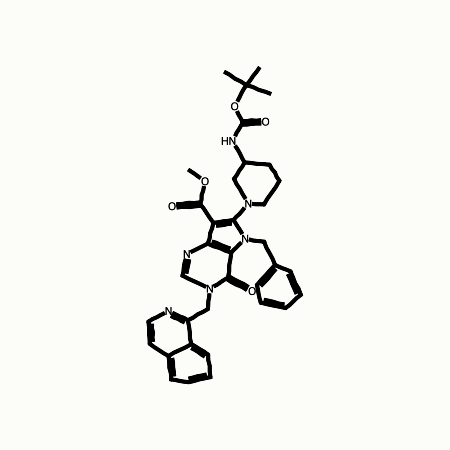 COC(=O)c1c(N2CCCC(NC(=O)OC(C)(C)C)C2)n(Cc2ccccc2)c2c(=O)n(Cc3nccc4ccccc34)cnc12